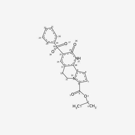 CC(C)OC(=O)c1ccc2n1CCc1cc(S(=O)(=O)c3ccccc3)c(=O)[nH]c1-2